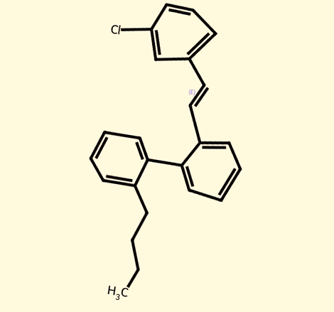 CCCCc1ccccc1-c1ccccc1/C=C/c1cccc(Cl)c1